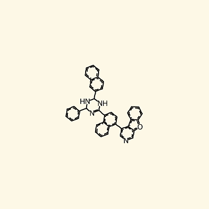 c1ccc(C2N=C(c3ccc(-c4cncc5oc6ccccc6c45)c4ccccc34)NC(c3ccc4ccccc4c3)N2)cc1